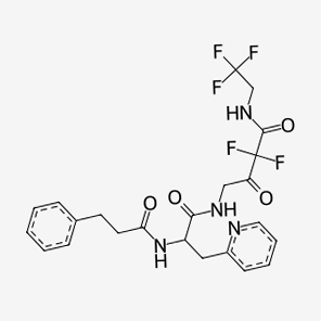 O=C(CCc1ccccc1)NC(Cc1ccccn1)C(=O)NCC(=O)C(F)(F)C(=O)NCC(F)(F)F